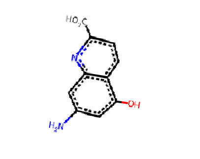 Nc1cc(O)c2ccc(C(=O)O)nc2c1